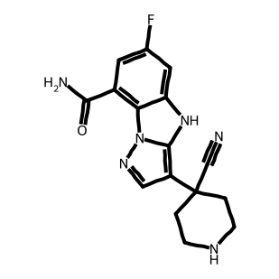 N#CC1(c2cnn3c2[nH]c2cc(F)cc(C(N)=O)c23)CCNCC1